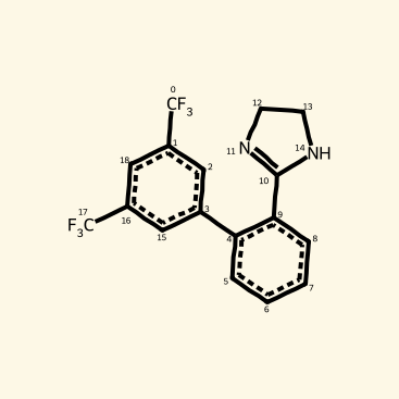 FC(F)(F)c1cc(-c2ccccc2C2=NCCN2)cc(C(F)(F)F)c1